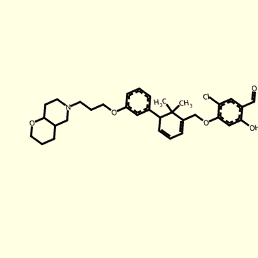 CC1(C)C(COc2cc(O)c(C=O)cc2Cl)=CC=CC1c1cccc(OCCCN2CCC3OCCCC3C2)c1